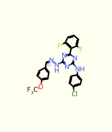 Fc1cccc(F)c1-c1nc(N/N=C\c2ccc(OC(F)(F)F)cc2)nc(Nc2ccc(Cl)cc2)n1